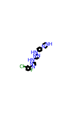 Fc1ccc(Cl)cc1-c1nccc(Nc2ccnc(Nc3ccc(N4CCNCC4)cc3)n2)n1